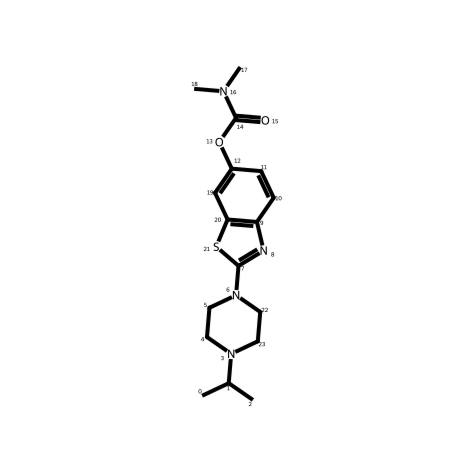 CC(C)N1CCN(c2nc3ccc(OC(=O)N(C)C)cc3s2)CC1